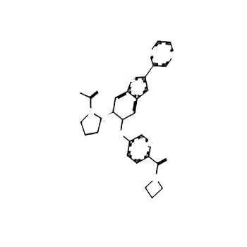 CC(=O)N1CCC[C@@H]1C1C=c2[nH]c(-c3cnccn3)cc2=CC1Oc1ccc(C(=O)N2CCC2)nc1